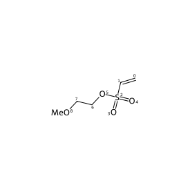 C=CS(=O)(=O)OCCOC